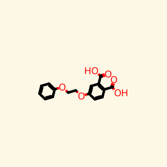 O=C(O)c1ccc(OCCOc2ccccc2)cc1C(=O)O